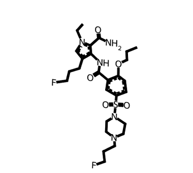 CCCOc1ccc(S(=O)(=O)N2CCN(CCCF)CC2)cc1C(=O)Nc1c(CCCF)cn(CC)c1C(N)=O